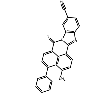 N#Cc1ccc2nc3c4ccc(N)c5c(-c6ccccc6)ccc(c(=O)n3c2c1)c54